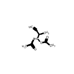 C#CC(C)[SiH](OC(C)=O)OC(C)=O